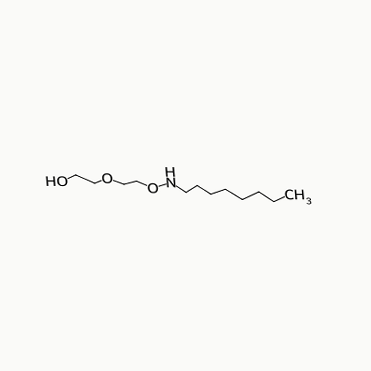 CCCCCCCCNOCCOCCO